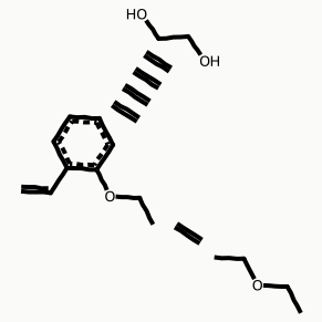 C=C.C=C.C=C.C=C.C=C.C=Cc1ccccc1OCC.CCOCC.OCCO